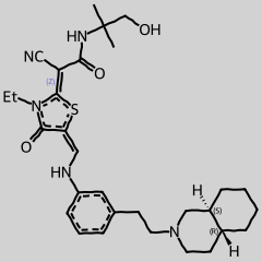 CCn1c(=O)c(=CNc2cccc(CCN3CC[C@H]4CCCC[C@@H]4C3)c2)s/c1=C(/C#N)C(=O)NC(C)(C)CO